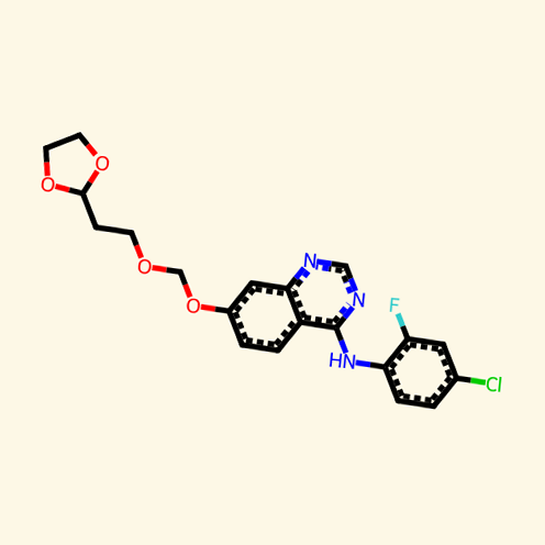 Fc1cc(Cl)ccc1Nc1ncnc2cc(OCOCCC3OCCO3)ccc12